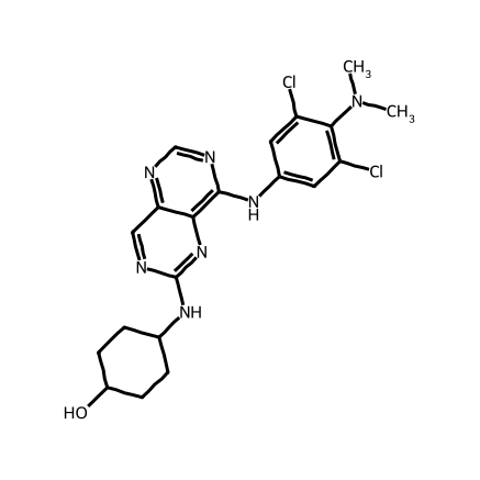 CN(C)c1c(Cl)cc(Nc2ncnc3cnc(NC4CCC(O)CC4)nc23)cc1Cl